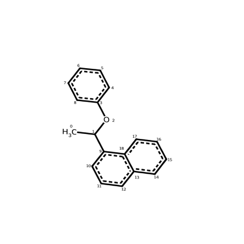 CC(Oc1ccccc1)c1cccc2ccccc12